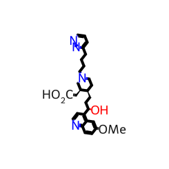 COc1ccc2nccc([C@H](O)CC[C@@H]3CCN(CCCCc4cccnn4)C[C@@H]3CC(=O)O)c2c1